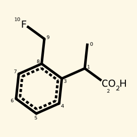 CC(C(=O)O)c1ccccc1CF